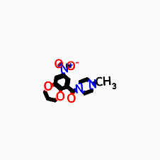 CN1CCN(C(=O)c2cc([N+](=O)[O-])cc3c2OCCCO3)CC1